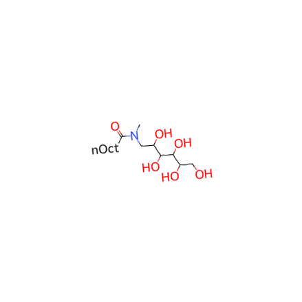 CCCCCCCCC(=O)N(C)CC(O)C(O)C(O)C(O)CO